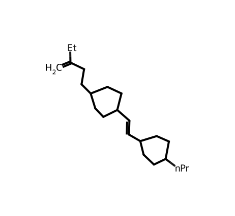 C=C(CC)CCC1CCC(C=CC2CCC(CCC)CC2)CC1